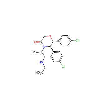 CCC[C@H](CNCC(=O)O)N1C(=O)CO[C@@H](c2ccc(Cl)cc2)[C@H]1c1ccc(Cl)cc1